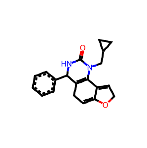 O=C1NC(c2ccccc2)C2=C(C3=CCOC3=CC2)N1CC1CC1